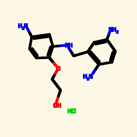 Cl.Nc1ccc(N)c(CNc2cc(N)ccc2OCCO)c1